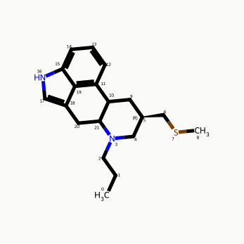 CCCN1C[C@H](CSC)CC2c3cccc4[nH]cc(c34)CC21